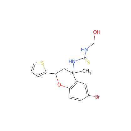 CC1(NC(=S)NCO)CC(c2cccs2)Oc2ccc(Br)cc21